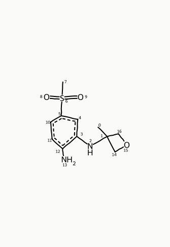 CC1(Nc2cc(S(C)(=O)=O)ccc2N)COC1